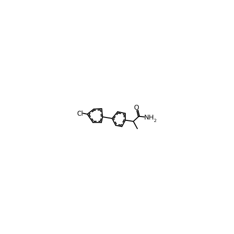 CC(C(N)=O)c1ccc(-c2ccc(Cl)cc2)cc1